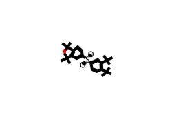 CC(C)(C)c1ccc(S(=O)(=O)c2ccc(C(C)(C)C)c(C(C)(C)C)c2)cc1C(C)(C)C